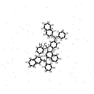 CC1(c2ccccc2)c2cc(N(c3ccccc3)c3ccc4ccccc4c3)ccc2-c2c1cc(N(c1ccccc1)c1ccc3ccccc3c1)c1ccccc21